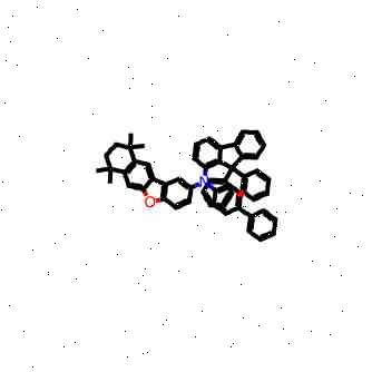 CC1(C)CCC(C)(C)c2cc3c(cc21)oc1ccc(N(c2ccc(-c4ccccc4)cc2)c2cccc4c2C(c2ccccc2)(c2ccccc2)c2ccccc2-4)cc13